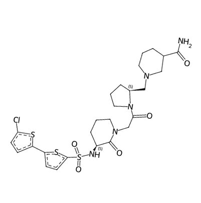 NC(=O)C1CCCN(C[C@@H]2CCCN2C(=O)CN2CCC[C@H](NS(=O)(=O)c3ccc(-c4ccc(Cl)s4)s3)C2=O)C1